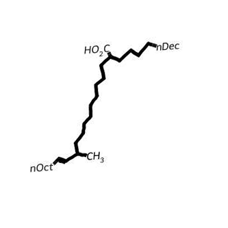 CCCCCCCCC=CC(C)CCCCCCCCCC(CCCCCCCCCCCCCC)C(=O)O